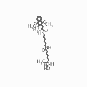 COc1c(Cl)c(/C=C(\C)C(=O)NCCCCCCNC(=O)CCCCC[C@H]2NC(=O)N[C@H]2C)c(OC)c2ccccc12